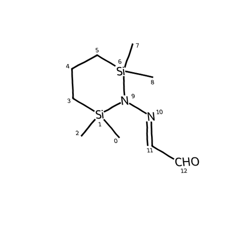 C[Si]1(C)CCC[Si](C)(C)N1N=CC=O